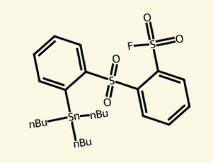 CCC[CH2][Sn]([CH2]CCC)([CH2]CCC)[c]1ccccc1S(=O)(=O)c1ccccc1S(=O)(=O)F